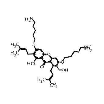 CC(C)=CCc1c(OCCCCCN)cc2oc3cc(OCCCCCN)c(CO)c(CC=C(C)C)c3c(=O)c2c1O